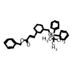 CC(C)(C)[Si](OCC1CCCC(/C=C/C(=O)OCc2ccccc2)C1)(c1ccccc1)c1ccccc1